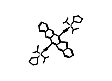 CC(C)[Si](C#Cc1c2cc3ccccc3cc2c(C#C[Si](C(C)C)(C(C)C)C2CCCC2)c2cc3ccccc3cc12)(C(C)C)C1CCCC1